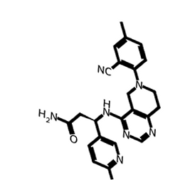 COc1ccc([C@@H](CC(N)=O)Nc2ncnc3c2CN(c2ccc(C)cc2C#N)CC3)cn1